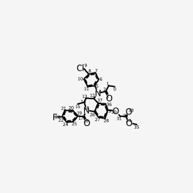 CCC(=O)N(c1ccc(Cl)cc1)C1CC(C)N(C(=O)c2ccc(F)cc2)c2ccc(OCC(=O)OC)cc21